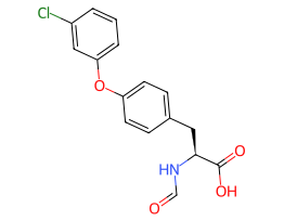 O=CN[C@@H](Cc1ccc(Oc2cccc(Cl)c2)cc1)C(=O)O